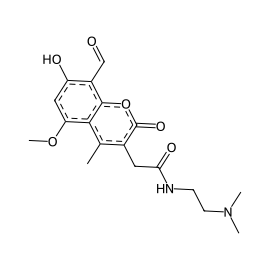 COc1cc(O)c(C=O)c2oc(=O)c(CC(=O)NCCN(C)C)c(C)c12